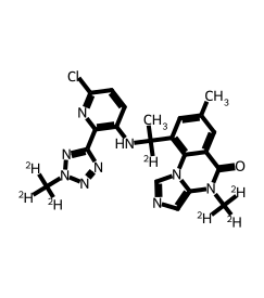 [2H]C(C)(Nc1ccc(Cl)nc1-c1nnn(C([2H])([2H])[2H])n1)c1cc(C)cc2c(=O)n(C([2H])([2H])[2H])c3cncn3c12